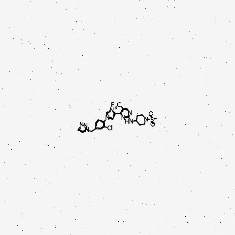 CS(=O)(=O)N1CCC(Nc2ncc(C(F)(F)F)c(-c3cn(-c4ccc(Cn5ccnn5)cc4Cl)cn3)n2)CC1